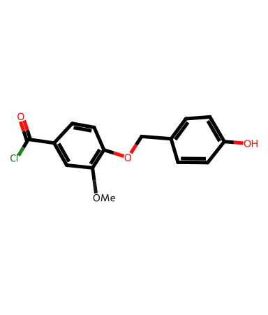 COc1cc(C(=O)Cl)ccc1OCc1ccc(O)cc1